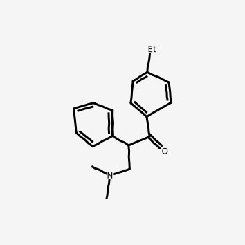 CCc1ccc(C(=O)C(CN(C)C)c2ccccc2)cc1